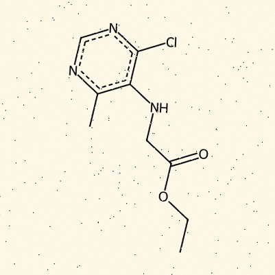 CCOC(=O)CNc1c(C)ncnc1Cl